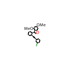 COc1cc(OC)c2c(-c3ccccc3C#Cc3cccc(F)c3)coc2c1